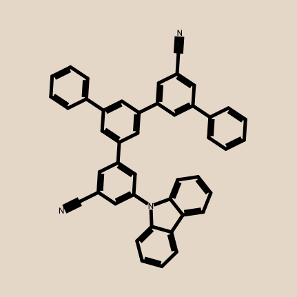 N#Cc1cc(-c2ccccc2)cc(-c2cc(-c3ccccc3)cc(-c3cc(C#N)cc(-n4c5ccccc5c5ccccc54)c3)c2)c1